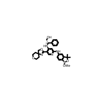 COB1OC(C)(C)c2cc(Nc3cc(N[C@H](CO)c4ccccc4)c(C4=NC5(CCOCC5)CO4)cn3)ccc21